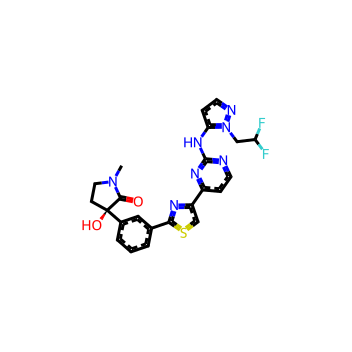 CN1CC[C@@](O)(c2cccc(-c3nc(-c4ccnc(Nc5ccnn5CC(F)F)n4)cs3)c2)C1=O